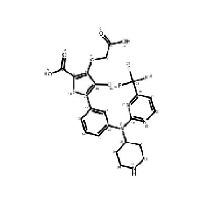 O=C(O)COc1c(C(=O)O)sc(-c2cccc(N(c3nccc(C(F)(F)F)n3)C3CCNCC3)c2)c1Cl